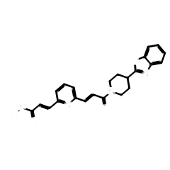 O=C(/C=C/c1cccc(/C=C/C(=O)N2CCC(c3nc4ccccc4o3)CC2)n1)NO